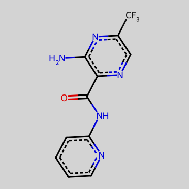 Nc1nc(C(F)(F)F)cnc1C(=O)Nc1ccccn1